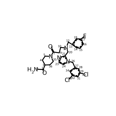 NC(=O)C1CCN(C(=O)CCN(Cc2cccc(F)c2)Cc2nccn2Cc2cc(Cl)cc(Cl)c2)CC1